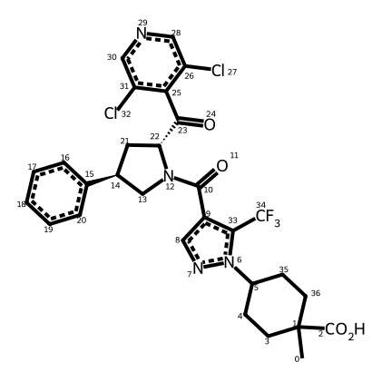 CC1(C(=O)O)CCC(n2ncc(C(=O)N3C[C@@H](c4ccccc4)C[C@@H]3C(=O)c3c(Cl)cncc3Cl)c2C(F)(F)F)CC1